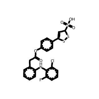 O=C(Cc1ccccc1Nc1c(F)cccc1Cl)Oc1ccc(C2=CC(S(=O)(=O)O)SS2)cc1